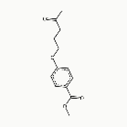 COC(=O)c1ccc(OCCCC(C)=O)cc1